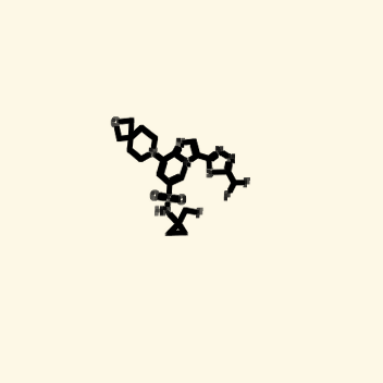 O=S(=O)(NC1(CF)CC1)c1cc(N2CCC3(CC2)COC3)c2ncc(-c3nnc(C(F)F)s3)n2c1